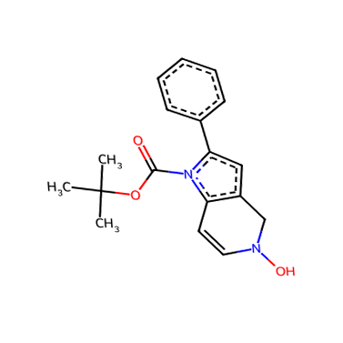 CC(C)(C)OC(=O)n1c(-c2ccccc2)cc2c1C=CN(O)C2